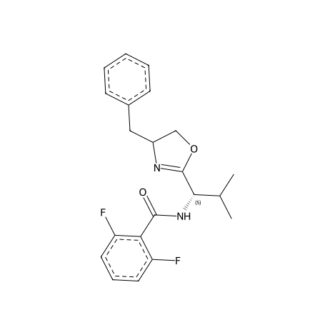 CC(C)[C@H](NC(=O)c1c(F)cccc1F)C1=NC(Cc2ccccc2)CO1